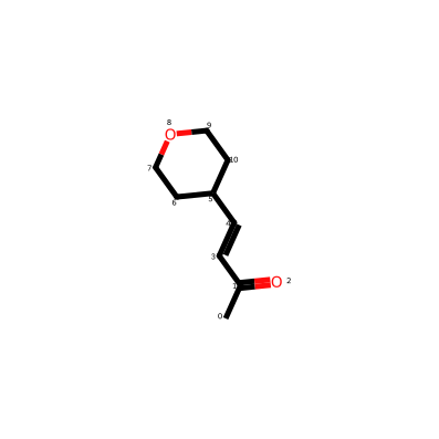 CC(=O)C=CC1CCOCC1